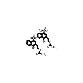 CC(=O)OCCc1cc(S(=O)(=O)Cl)c2ccccc2c1Br.CC(=O)OCCc1cc(S(=O)(=O)[O-])c2ccccc2c1Br.[K+]